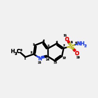 CCc1ccc2cc(S(N)(=O)=O)ccc2n1